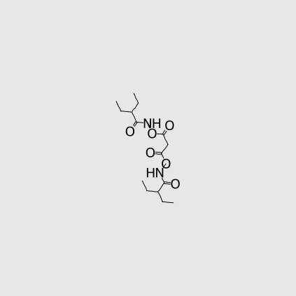 CCC(CC)C(=O)NOC(=O)CC(=O)ONC(=O)C(CC)CC